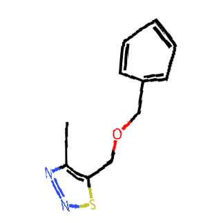 Cc1nnsc1COCc1ccccc1